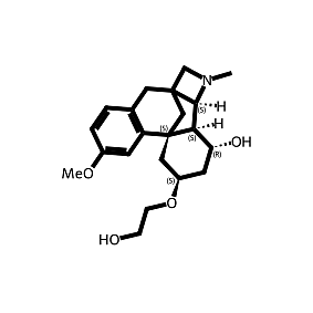 COc1ccc2c(c1)[C@@]13C[C@H](OCCO)C[C@@H](O)[C@@H]1[C@@H]1N(C)CC1(C2)C3